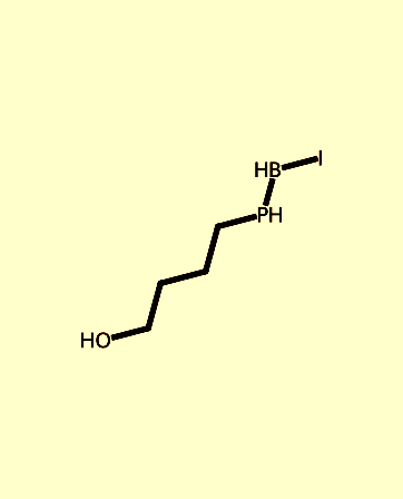 OCCCCPBI